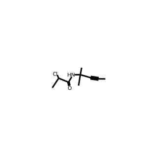 CC#CC(C)(C)NC(=O)C(C)Cl